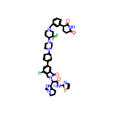 O=C1CCC(c2cccc(CN3CCC(N4CCN(c5ccc(-c6cc(F)c7c(c6)C(=O)N(C(C(=O)Nc6nccs6)c6ncn8c6CCC8)C7)cc5)CC4)C(F)(F)C3)c2)C(=O)N1